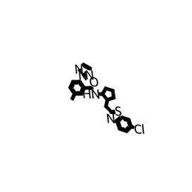 Cc1ccc(-n2nccn2)c(C(=O)NC2CCCC2Cc2nc3ccc(Cl)cc3s2)c1